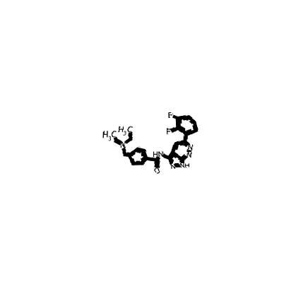 CCN(CC)Cc1ccc(C(=O)Nc2n[nH]c3nnc(-c4cccc(F)c4F)cc23)cc1